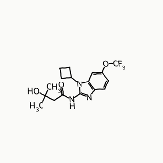 CC(C)(O)CC(=O)Nc1nc2ccc(OC(F)(F)F)cc2n1C1CCC1